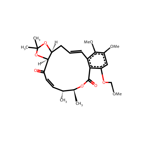 COCOc1cc(OC)c(OC)c2c1C(=O)O[C@@H](C)[C@H](C)/C=C\C(=O)[C@H]1OC(C)(C)O[C@H]1C/C=C/2